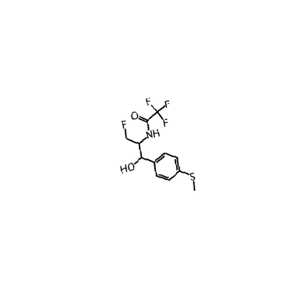 CSc1ccc(C(O)C(CF)NC(=O)C(F)(F)F)cc1